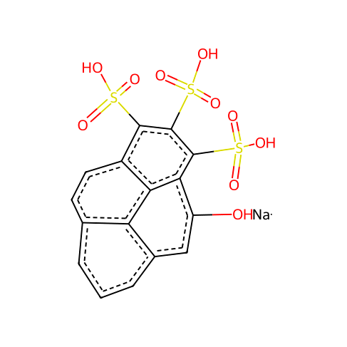 O=S(=O)(O)c1c(S(=O)(=O)O)c2ccc3cccc4cc(O)c(c1S(=O)(=O)O)c2c34.[Na]